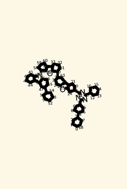 c1ccc(-c2ccc(-c3nc(-c4ccccc4)nc(-c4ccc5c(c4)oc4ccc(-c6cccc7c6oc6c(-n8c9ccccc9c9cc(-c%10ccccc%10)ccc98)cccc67)cc45)n3)cc2)cc1